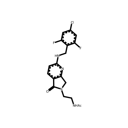 CC(=O)NCCN1Cc2nc(NCc3c(F)cc(Cl)cc3F)ccc2C1=O